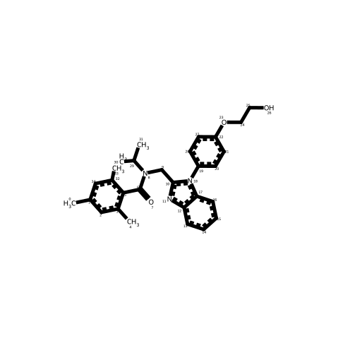 Cc1cc(C)c(C(=O)N(Cc2nc3ccccc3n2-c2ccc(OCCO)cc2)C(C)C)c(C)c1